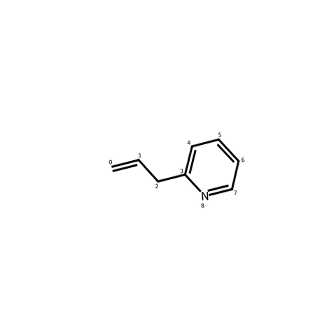 C=CCc1ccccn1